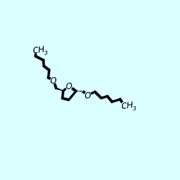 CCCCCCOC[C@@H]1CC[C@@H](COCCCCCC)O1